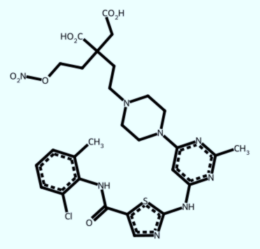 Cc1nc(Nc2ncc(C(=O)Nc3c(C)cccc3Cl)s2)cc(N2CCN(CCC(CCO[N+](=O)[O-])(CC(=O)O)C(=O)O)CC2)n1